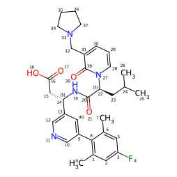 Cc1cc(F)cc(C)c1-c1cncc([C@H](CC(=O)O)NC(=O)[C@H](CC(C)C)n2cccc(CN3CCCC3)c2=O)c1